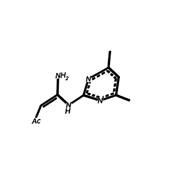 CC(=O)/C=C(/N)Nc1nc(C)cc(C)n1